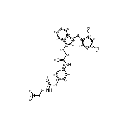 CN(C)CCNC(=O)Cc1ccc(NC(=O)CCc2cn(Cc3ccc(Cl)cc3Cl)c3ccccc23)cc1